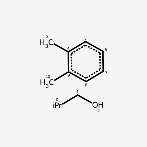 CC(C)CO.Cc1ccccc1C